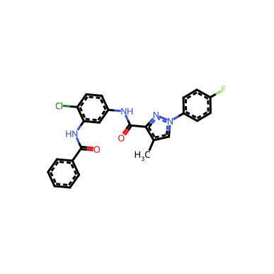 Cc1cn(-c2ccc(F)cc2)nc1C(=O)Nc1ccc(Cl)c(NC(=O)c2ccccc2)c1